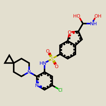 O=S(=O)(Nc1cc(Cl)cnc1N1CCC2(CC1)CC2)c1ccc2cc(C(O)NO)oc2c1